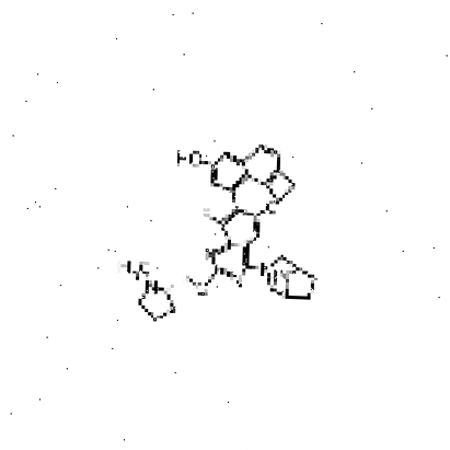 CN1CCC[C@H]1COc1nc(N2CC3CCC(C2)N3)c2cc(Cl)c(-c3cc(O)cc4ccc5c(c34)CC5)c(F)c2n1